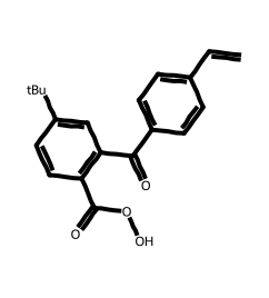 C=Cc1ccc(C(=O)c2cc(C(C)(C)C)ccc2C(=O)OO)cc1